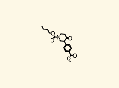 CCCCOC(=O)N1CCC(=O)C(c2ccc(C(=O)OC)cc2)C1